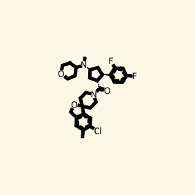 Cc1cc2c(cc1Cl)C1(CCN(C(=O)[C@@H]3C[C@H](N(C)C4CCOCC4)C[C@H]3c3ccc(F)cc3F)CC1)OC2